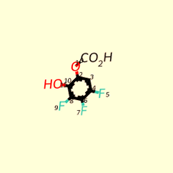 O=C(O)Oc1cc(F)c(F)c(F)c1O